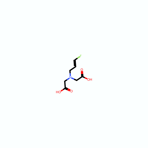 O=C(O)CN(CC=CF)CC(=O)O